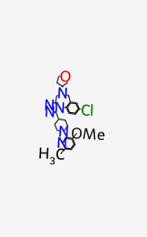 COc1ccc(C)nc1N1CCC(c2nnc3n2-c2ccc(Cl)cc2CN([C@H]2CCOC2)C3)CC1